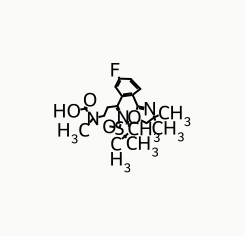 CN(CCC(=N[S+]([O-])C(C)(C)C)c1cc(F)ccc1C1=NC(C)(C)CO1)C(=O)O